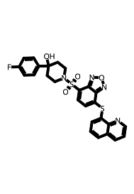 O=S(=O)(c1ccc(Sc2cccc3cccnc23)c2nonc12)N1CCC(O)(c2ccc(F)cc2)CC1